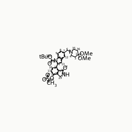 COC1(OC)CCN(Cc2ccc3c(c2)cc(-c2ccc(OS(C)(=O)=O)c4c2C(=O)NC4)n3C(=O)OC(C)(C)C)CC1